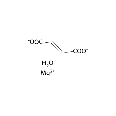 O.O=C([O-])/C=C/C(=O)[O-].[Mg+2]